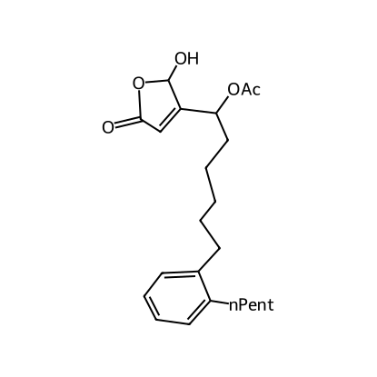 CCCCCc1ccccc1CCCCCC(OC(C)=O)C1=CC(=O)OC1O